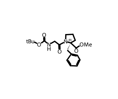 COC(=O)[C@]1(Cc2ccccc2)CCCN1C(=O)CNC(=O)OC(C)(C)C